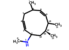 CNC1C=CCC(C)C=CC(C)[C@@H](C)C1